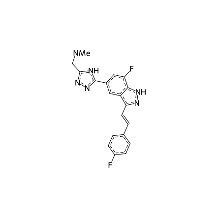 CNCc1nnc(-c2cc(F)c3[nH]nc(C=Cc4ccc(F)cc4)c3c2)[nH]1